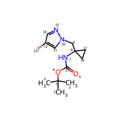 CC(C)(C)OC(=O)NC1(Cn2cc(I)cn2)CC1